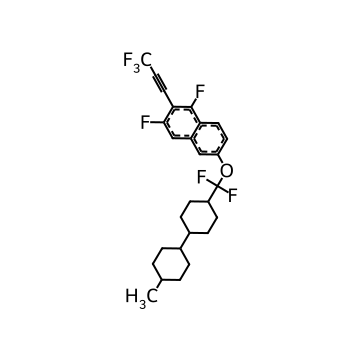 CC1CCC(C2CCC(C(F)(F)Oc3ccc4c(F)c(C#CC(F)(F)F)c(F)cc4c3)CC2)CC1